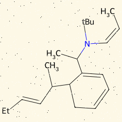 C/C=C\N(C(C)C1=CC=CCC1C(C)C=CCC)C(C)(C)C